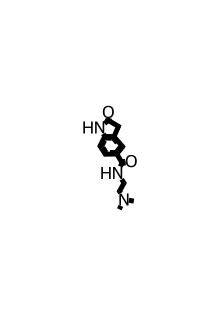 CN(C)CCNC(=O)c1ccc2c(c1)CC(=O)N2